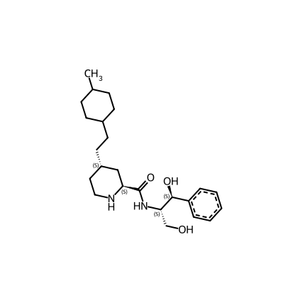 CC1CCC(CC[C@H]2CCN[C@H](C(=O)N[C@@H](CO)[C@@H](O)c3ccccc3)C2)CC1